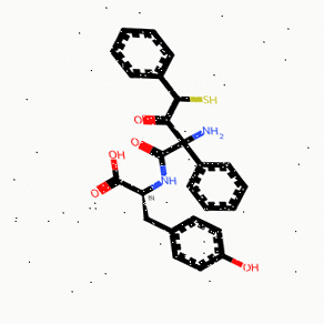 NC(C(=O)N[C@@H](Cc1ccc(O)cc1)C(=O)O)(C(=O)C(S)c1ccccc1)c1ccccc1